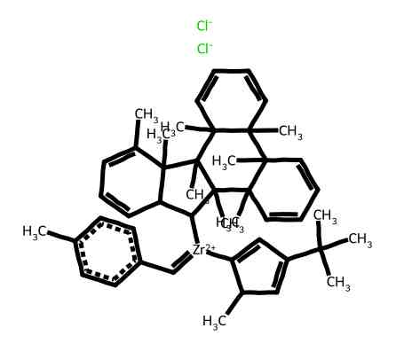 CC1=CC=CC2[CH](/[Zr+2](=[CH]\c3ccc(C)cc3)[C]3=CC(C(C)(C)C)=CC3C)C3(C)C4(C)C=CC=CC4(C)C4(C)C=CC=CC4(C)C3(C)C12C.[Cl-].[Cl-]